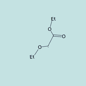 CCO[CH]C(=O)OCC